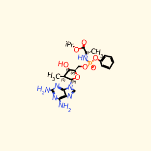 CC(C)OC(=O)[C@H](C)NP(=O)(OC[C@H]1O[C@@H](n2cnc3c(N)nc(N)nc32)[C@@H](C)[C@@H]1O)Oc1ccccc1